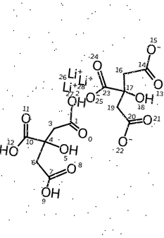 O=C(O)CC(O)(CC(=O)O)C(=O)O.O=C([O-])CC(O)(CC(=O)[O-])C(=O)[O-].[Li+].[Li+].[Li+]